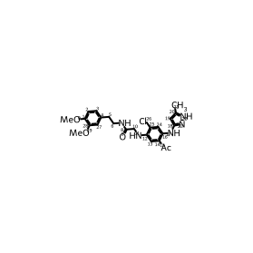 COc1ccc(CCNC(=O)CNc2cc(C(C)=O)c(Nc3cc(C)[nH]n3)cc2Cl)cc1OC